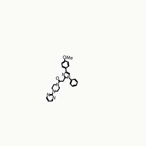 COc1ccc(-c2cn(-c3ccccc3)c(CC(=O)N3CCN(c4ncccn4)CC3)n2)cc1